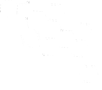 c1ccc(-c2cc3c4c(cccc4c2)N(c2cccc(-c4nc5ccccc5n4-c4ccccc4)c2)c2ccncc2-3)cc1